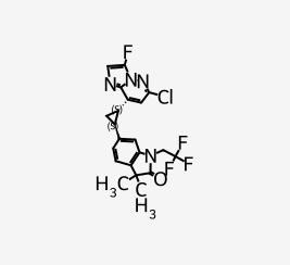 CC1(C)C(=O)N(CC(F)(F)F)c2cc([C@H]3C[C@@H]3c3cc(Cl)nn4c(F)cnc34)ccc21